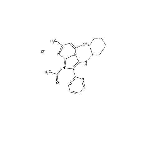 CC(=O)[n+]1c(-c2ccccn2)c(NC2CCCCC2)n2c(C)cc(C)nc21.[Cl-]